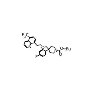 CC(C)(C)OC(=O)N1CCC(COCCc2ccc(C(F)(F)F)c3cccnc23)(c2ccc(F)cc2)CC1